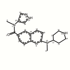 CN(C(=O)c1ccc2nc(N(C)C3CCNCC3)ccc2c1)c1cn[nH]c1